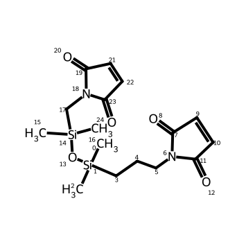 C[Si](C)(CCCN1C(=O)C=CC1=O)O[Si](C)(C)CN1C(=O)C=CC1=O